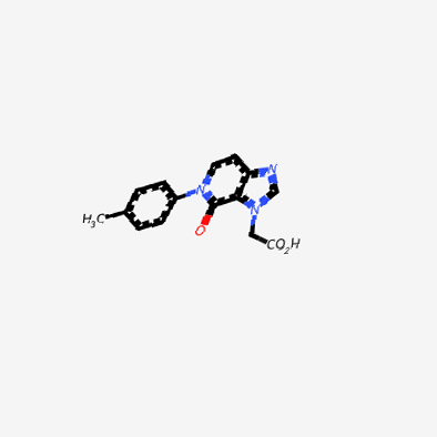 Cc1ccc(-n2ccc3ncn(CC(=O)O)c3c2=O)cc1